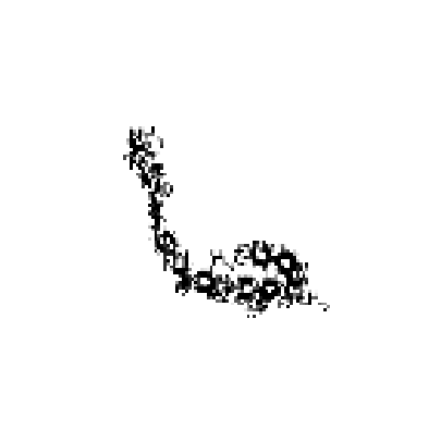 COc1ccc(-c2ccc3ncc4c(c3c2)n(-c2ccc(N3CCN(c5ncc6c(n5)CCN(C(=O)c5cnc(N7CCN(CCOCCC(=O)N8CCN(c9ncc(CN)cn9)CC8)CC7)nc5)C6)CC3)c(C(F)(F)F)c2)c(=O)n4C)cn1